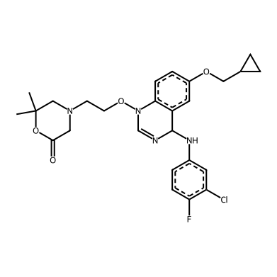 CC1(C)CN(CCON2C=NC(Nc3ccc(F)c(Cl)c3)c3cc(OCC4CC4)ccc32)CC(=O)O1